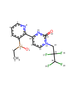 CC[S+]([O-])c1cccnc1-c1ccn(CC(F)(F)C(F)F)c(=O)n1